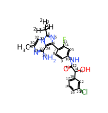 [2H]C([2H])([2H])c1nc(-c2ccc(NC(=O)C(O)c3cccc(Cl)c3)cc2F)c2c(N)nc(C)cn12